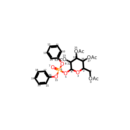 CC(=O)OCC1OC(OP(=O)(Oc2ccccc2)Oc2ccccc2)C(OC(C)=O)C(OC(C)=O)C1OC(C)=O